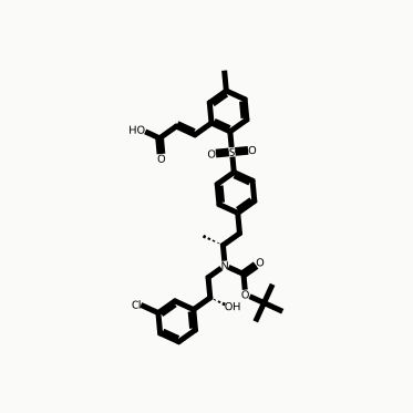 Cc1ccc(S(=O)(=O)c2ccc(C[C@@H](C)N(C[C@H](O)c3cccc(Cl)c3)C(=O)OC(C)(C)C)cc2)c(C=CC(=O)O)c1